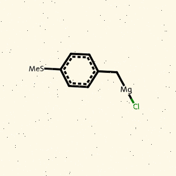 CSc1ccc([CH2][Mg][Cl])cc1